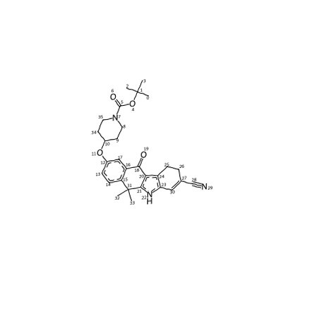 CC(C)(C)OC(=O)N1CCC(Oc2ccc3c(c2)C(=O)c2c([nH]c4c2CCC(C#N)=C4)C3(C)C)CC1